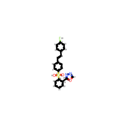 O=S(=O)(c1ccc(C=Cc2ccc(F)cc2)cc1)c1ccccc1-c1nnco1